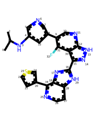 CC(C)Nc1cncc(-c2cnc3[nH]nc(-c4nc5c(-c6ccsc6)nccc5[nH]4)c3c2F)c1